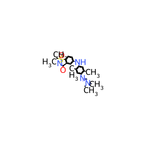 CCN(C)/C=N/c1cc(C)c(Nc2ccc3c(c2)C(=O)N=S3(=O)C(C)C)cc1C